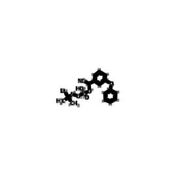 CCC(C)(C)SOP(=O)(O)OC(C#N)c1cccc(Oc2ccccc2)c1